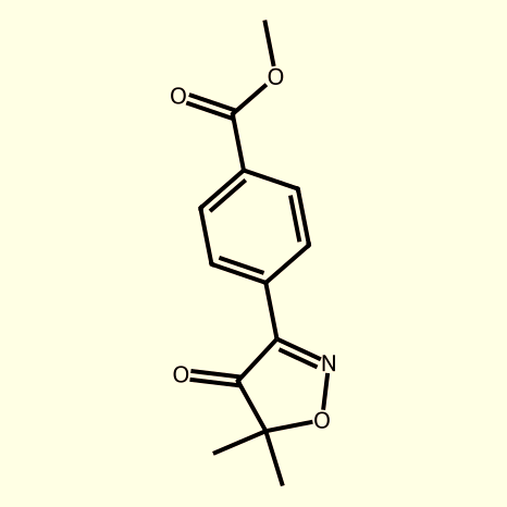 COC(=O)c1ccc(C2=NOC(C)(C)C2=O)cc1